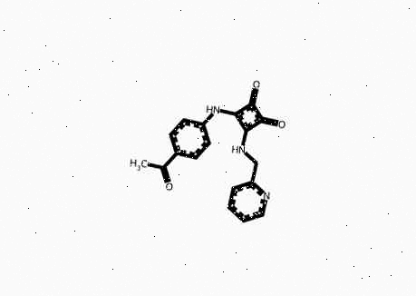 CC(=O)c1ccc(Nc2c(NCc3ccccn3)c(=O)c2=O)cc1